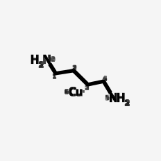 NCCCCN.[Cu]